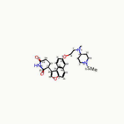 CSN1CCC(N(C)CCOc2ccc3c(ccc4occ(C5CCC(=O)NC5=O)c43)c2)CC1